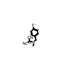 CN(Cc1ccc(F)cc1)C(C#N)C#N